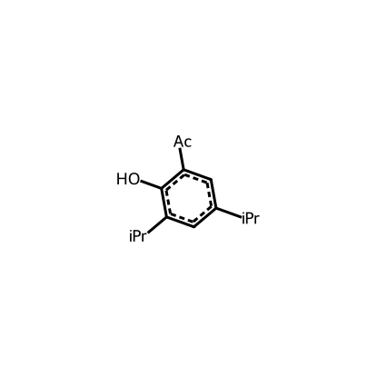 CC(=O)c1cc(C(C)C)cc(C(C)C)c1O